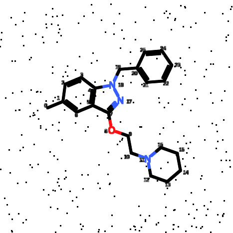 Cc1ccc2c(c1)c(OCCN1CCCCC1)nn2Cc1ccccc1